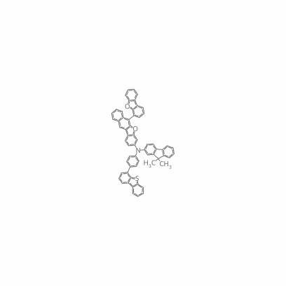 CC1(C)c2ccccc2-c2ccc(N(c3ccc(-c4cccc5c4sc4ccccc45)cc3)c3ccc4c(c3)oc3c(-c5cccc6c5oc5ccccc56)c5ccccc5cc34)cc21